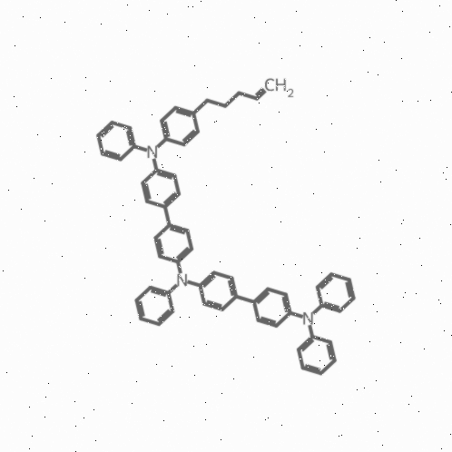 C=CCCCc1ccc(N(c2ccccc2)c2ccc(-c3ccc(N(c4ccccc4)c4ccc(-c5ccc(N(c6ccccc6)c6ccccc6)cc5)cc4)cc3)cc2)cc1